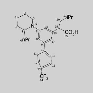 CCCC1CCCCN1c1cc(-c2ccc(C(F)(F)F)cc2)cc(C(CC(C)C)C(=O)O)c1